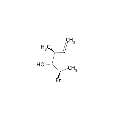 C=C[C@H](C)[C@@H](O)[C@@H](C)CC